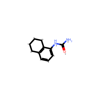 NC(=O)Nc1cccc2c1CCCC2